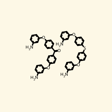 Nc1cccc(Oc2ccc(C(=O)c3ccc(Oc4cccc(N)c4)cc3)cc2)c1.Nc1cccc(Oc2ccc(Sc3ccc(Oc4cccc(N)c4)cc3)cc2)c1